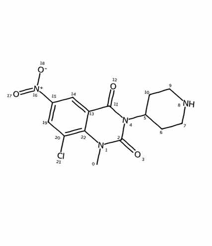 Cn1c(=O)n(C2CCNCC2)c(=O)c2cc([N+](=O)[O-])cc(Cl)c21